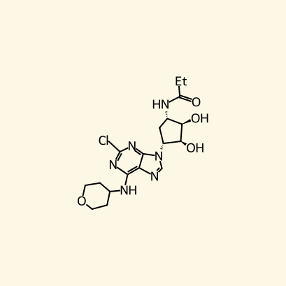 CCC(=O)N[C@H]1C[C@@H](n2cnc3c(NC4CCOCC4)nc(Cl)nc32)[C@H](O)[C@@H]1O